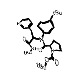 CC(C)(C)NC(=O)C(c1cccnc1)N(C(=O)C1CCCN1C(=O)OC(C)(C)C)c1ccc(C(C)(C)C)cc1